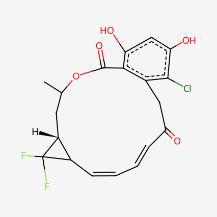 CC1C[C@@H]2C(/C=C\C=C\C(=O)Cc3c(Cl)c(O)cc(O)c3C(=O)O1)C2(F)F